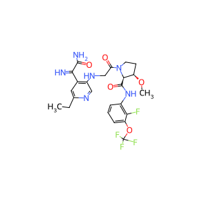 CCc1cc(C(=N)C(N)=O)c(NCC(=O)N2CC[C@@H](OC)[C@H]2C(=O)Nc2cccc(OC(F)(F)F)c2F)cn1